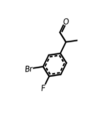 CC(C=O)c1ccc(F)c(Br)c1